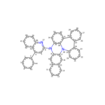 c1ccc(-c2cc(N3c4cc5ccccc5cc4N4c5ccccc5-c5ccccc5-c5cccc3c54)nc3ccccc23)cc1